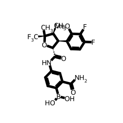 COc1c([C@H]2[C@H](C(=O)Nc3ccc(B(O)O)c(C(N)=O)c3)O[C@@](C)(C(F)(F)F)[C@H]2C)ccc(F)c1F